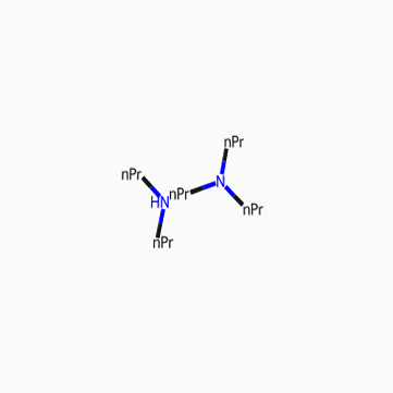 CCCN(CCC)CCC.CCCNCCC